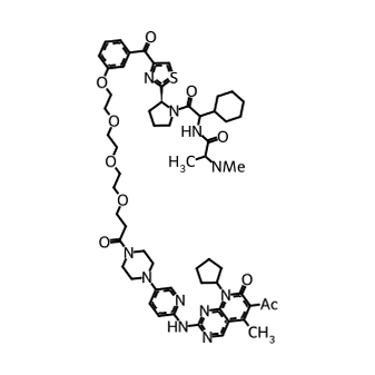 CNC(C)C(=O)NC(C(=O)N1CCC[C@H]1c1nc(C(=O)c2cccc(OCCOCCOCCOCCC(=O)N3CCN(c4ccc(Nc5ncc6c(C)c(C(C)=O)c(=O)n(C7CCCC7)c6n5)nc4)CC3)c2)cs1)C1CCCCC1